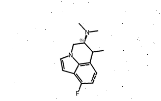 CC1c2ccc(F)c3ccn(c23)C[C@H]1N(C)C